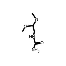 COC(CNC(N)=O)OC